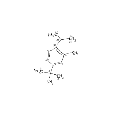 Cc1cc(C(C)(C)C)ccc1C(C)C